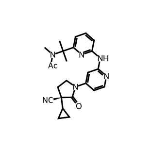 CC(=O)N(C)C(C)(C)c1cccc(Nc2cc(N3CC[C@@](C#N)(C4CC4)C3=O)ccn2)n1